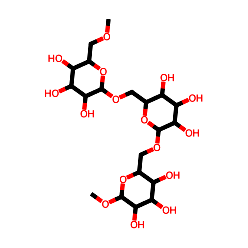 COCC1OC(OCC2OC(OCC3OC(OC)C(O)C(O)C3O)C(O)C(O)C2O)C(O)C(O)C1O